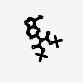 CC(C)(C)OC(=O)N(C(=O)OC(C)(C)C)c1ncc2scc(Br)c2n1